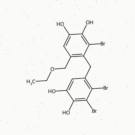 CCOCc1cc(O)c(O)c(Br)c1Cc1cc(O)c(O)c(Br)c1Br